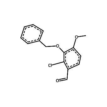 COc1ccc(C=O)c(Cl)c1OCc1ccccc1